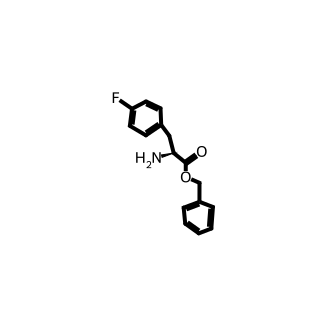 N[C@@H](Cc1ccc(F)cc1)C(=O)OCc1ccccc1